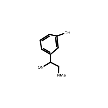 CNCC(N=O)c1cccc(O)c1